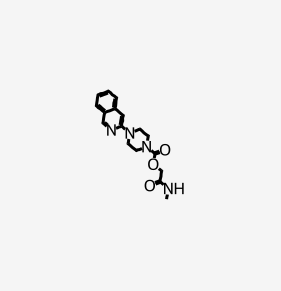 CNC(=O)COC(=O)N1CCN(c2cc3ccccc3cn2)CC1